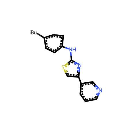 CCC(C)c1ccc(Nc2nc(-c3cccnc3)cs2)cc1